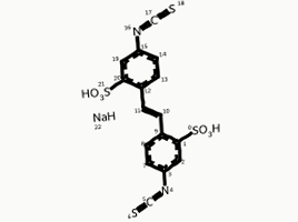 O=S(=O)(O)c1cc(N=C=S)ccc1C=Cc1ccc(N=C=S)cc1S(=O)(=O)O.[NaH]